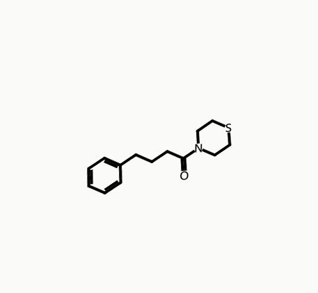 O=C(CCCc1ccccc1)N1CCSCC1